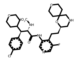 O=C(O)N[C@H](C(=O)Nc1cncc(F)c1CC[C@@H]1CNCC2(CCOCC2)O1)[C@@H](c1ccc(Cl)cc1)C1CCOCC1